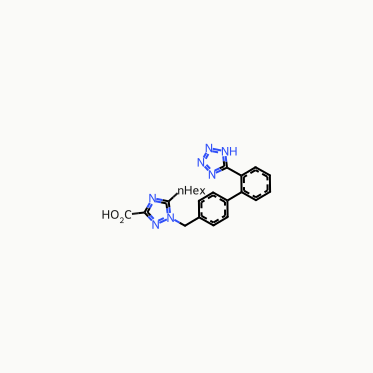 CCCCCCc1nc(C(=O)O)nn1Cc1ccc(-c2ccccc2-c2nnn[nH]2)cc1